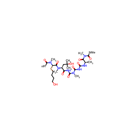 CCCC(=O)N(C)[C@H](SCCCCO)C(=O)N(C)[C@@H](CC(C)(C)O)C(=O)NC(=O)N(C)C(=O)NC(=O)N[C@H](C)C(=O)N(C)C(=O)NC